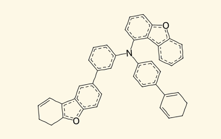 C1=CC(c2ccc(N(c3cccc(-c4ccc5oc6c(c5c4)C=CCC6)c3)c3cccc4oc5ccccc5c34)cc2)=CCC1